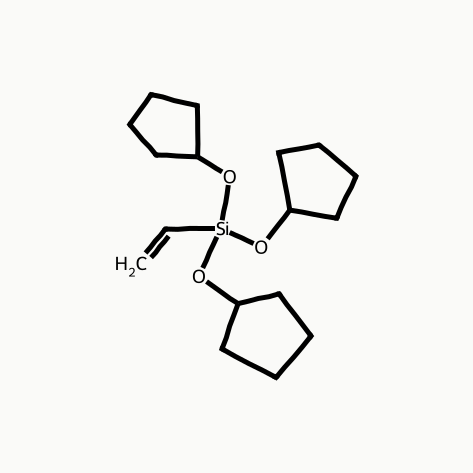 C=C[Si](OC1CCCC1)(OC1CCCC1)OC1CCCC1